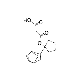 O=C(O)CC(=O)OC1(C2CC3C=CC2C3)CCCC1